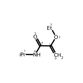 C=C(OCC)C(=O)NC(C)C